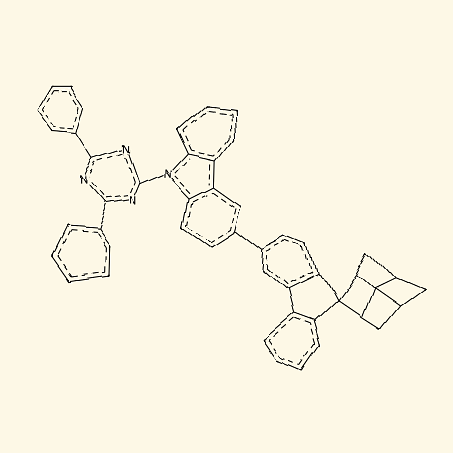 c1ccc(-c2nc(-c3ccccc3)nc(-n3c4ccccc4c4cc(-c5ccc6c(c5)-c5ccccc5C65C6CC7CC8CC5C786)ccc43)n2)cc1